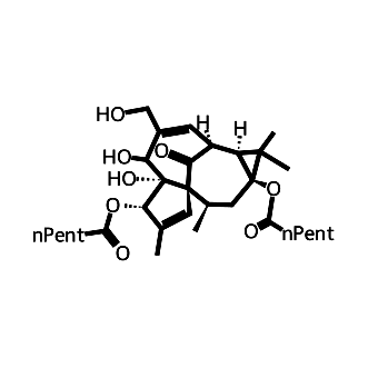 CCCCCC(=O)O[C@H]1C(C)=C[C@]23C(=O)[C@@H](C=C(CO)C(O)[C@]12O)[C@H]1C(C)(C)[C@]1(OC(=O)CCCCC)C[C@H]3C